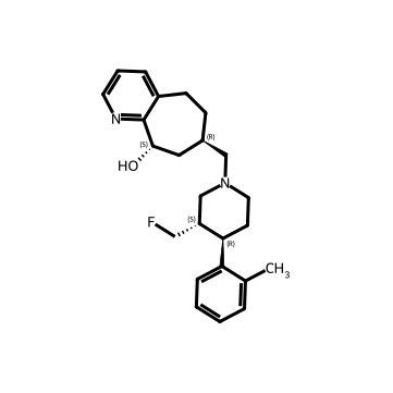 Cc1ccccc1[C@@H]1CCN(C[C@@H]2CCc3cccnc3[C@@H](O)C2)C[C@H]1CF